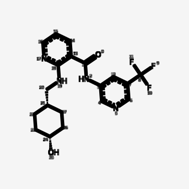 O=C(Nc1cncc(C(F)(F)F)c1)c1cccnc1NC[C@H]1CC[C@@H](O)CC1